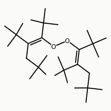 CC(C)(C)CC(=C(OOC(=C(CC(C)(C)C)C(C)(C)C)C(C)(C)C)C(C)(C)C)C(C)(C)C